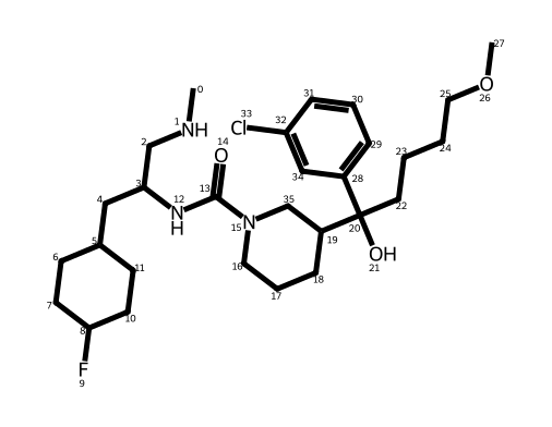 CNCC(CC1CCC(F)CC1)NC(=O)N1CCCC(C(O)(CCCCOC)c2cccc(Cl)c2)C1